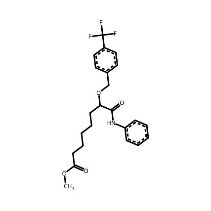 COC(=O)CCCCCC(OCc1ccc(C(F)(F)F)cc1)C(=O)Nc1ccccc1